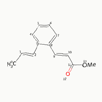 C/C=C/c1ccccc1/C=C/C(=O)OC